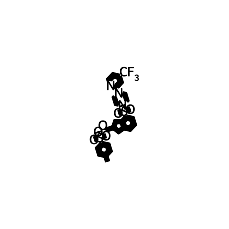 Cc1ccc(S(=O)(=O)OC(=O)C2Cc3cccc(S(=O)(=O)N4CCN(c5cc(C(F)(F)F)ccn5)CC4)c3C2)cc1